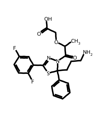 CC(OCC(=O)O)C(=O)N1N=C(c2cc(F)ccc2F)SC1(CCCN)c1ccccc1